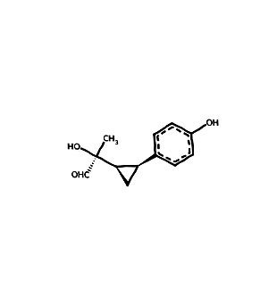 C[C@@](O)(C=O)[C@@H]1C[C@@H]1c1ccc(O)cc1